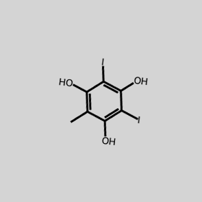 Cc1c(O)c(I)c(O)c(I)c1O